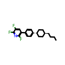 CCCC[C@H]1CC[C@H](c2ccc(-c3cc(F)c(F)nc3F)cc2)CC1